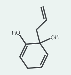 C=CCC1(O)C=CCC=C1O